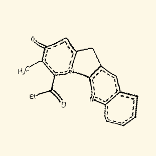 CCC(=O)c1c(C)c(=O)cc2n1-c1nc3ccccc3cc1C2